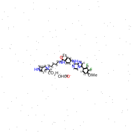 CCc1cc(Nc2nccn3c(-c4ccc(OC)c(F)c4F)cnc23)ccc1C(=O)NCCCCC[N+](C)(CC(=O)O)CC1CNC1.O=C[O-]